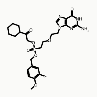 COc1ccc(COP(=O)(CCOCCn2cnc3c(=O)[nH]c(N)nc32)OCC(=O)C2CCCCC2)cc1F